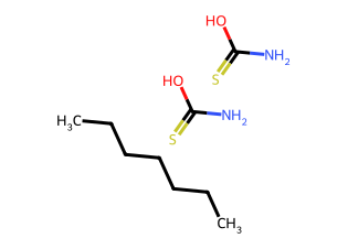 CCCCCCC.NC(O)=S.NC(O)=S